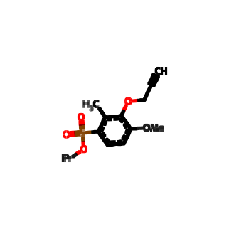 C#CCOc1c(OC)ccc(S(=O)(=O)OC(C)C)c1C